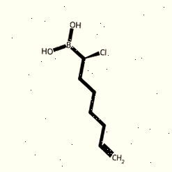 C=CCCCC[C@H](Cl)B(O)O